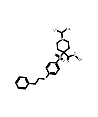 CC(C)N1CCC(C(=O)NO)(S(=O)(=O)c2ccc(OCCc3ccccc3)cc2)CC1